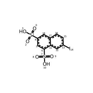 O=S(=O)(O)c1cc(S(=O)(=O)O)c2cc(I)ccc2c1